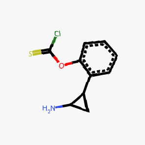 NC1CC1c1ccccc1OC(=S)Cl